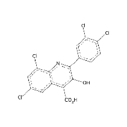 O=C(O)c1c(O)c(-c2ccc(Cl)c(Cl)c2)nc2c(Cl)cc(Cl)cc12